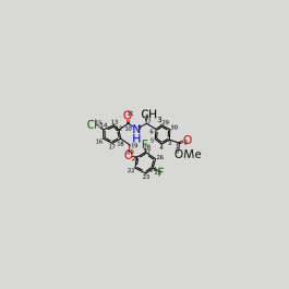 COC(=O)c1ccc([C@H](C)NC(=O)c2cc(Cl)ccc2COc2ccc(F)cc2F)cc1